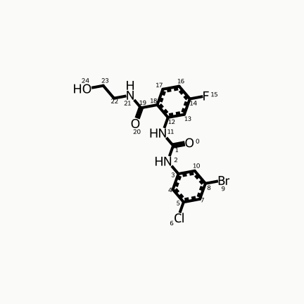 O=C(Nc1cc(Cl)cc(Br)c1)Nc1cc(F)ccc1C(=O)NCCO